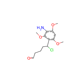 COc1cc(OC)c(C(Cl)CCCC=O)c(OC)c1N